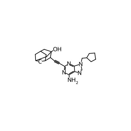 Nc1nc(C#CC2C3CC4CC(C3)CC2(O)C4)nc2c1ncn2CC1CCCC1